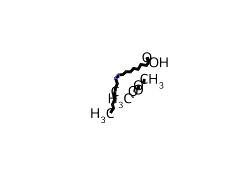 CCCCCCCC/C=C\CCCCCCCC(=O)O.CCOOOCC